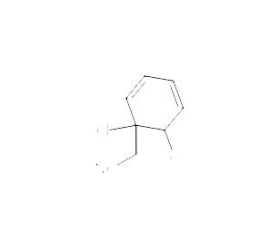 N#CCC1(Cl)C=CC=CC1Cl